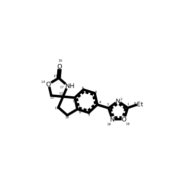 CCc1nc(-c2ccc3c(c2)CCC32COC(=O)N2)no1